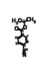 CC(C)OC(=O)c1ccc(C#N)cc1